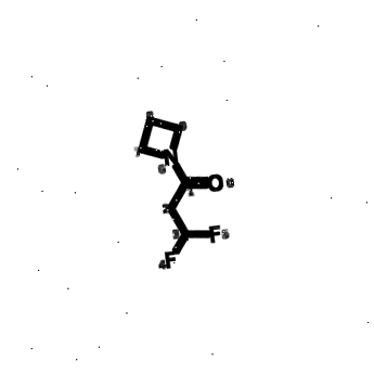 O=C(C[C](F)F)N1CCC1